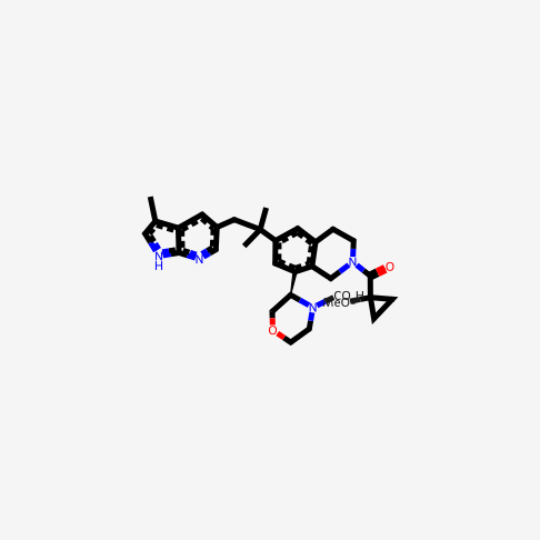 COC1(C(=O)N2CCc3cc(C(C)(C)Cc4cnc5[nH]cc(C)c5c4)cc([C@@H]4COCCN4C(=O)O)c3C2)CC1